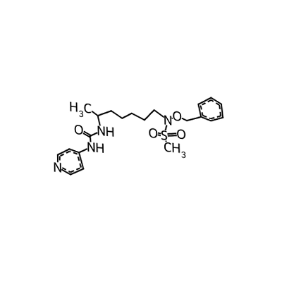 CC(CCCCCN(OCc1ccccc1)S(C)(=O)=O)NC(=O)Nc1ccncc1